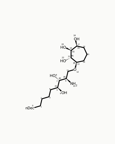 CCCCCCCCCCCCCC[C@H](O)[C@H](O)[C@H](N)CO[C@@H]1CCC[C@H](O)[C@H](O)[C@H]1O